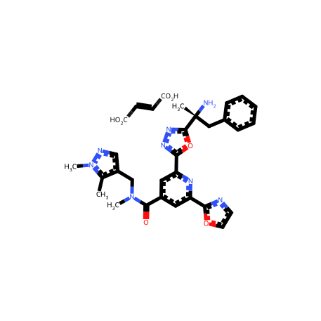 Cc1c(CN(C)C(=O)c2cc(-c3ncco3)nc(-c3nnc([C@](C)(N)Cc4ccccc4)o3)c2)cnn1C.O=C(O)C=CC(=O)O